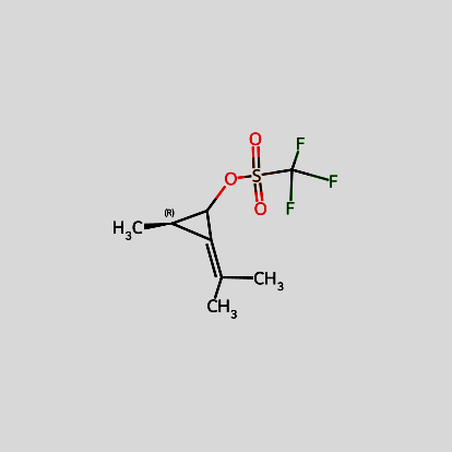 CC(C)=C1C(OS(=O)(=O)C(F)(F)F)[C@@H]1C